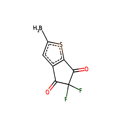 Bc1cc2c(s1)C(=O)C(F)(F)C2=O